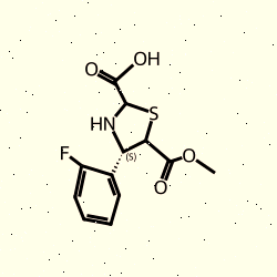 COC(=O)C1SC(C(=O)O)N[C@H]1c1ccccc1F